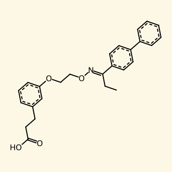 CC/C(=N\OCCOc1cccc(CCC(=O)O)c1)c1ccc(-c2ccccc2)cc1